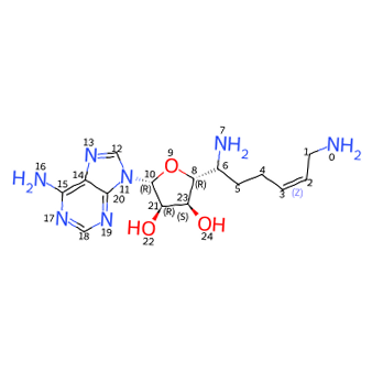 NC/C=C\CCC(N)[C@H]1O[C@@H](n2cnc3c(N)ncnc32)[C@H](O)[C@@H]1O